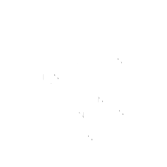 Nc1cccnc1-n1ncnn1